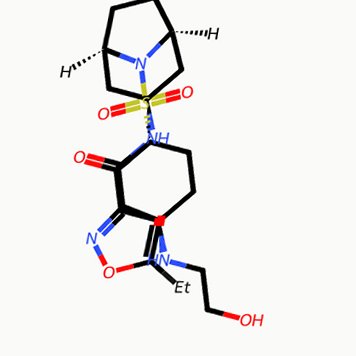 CCc1cc(C(=O)N[C@H]2C[C@H]3CC[C@@H](C2)N3S(=O)(=O)[C@H]2CC[C@H](NCCO)CC2)no1